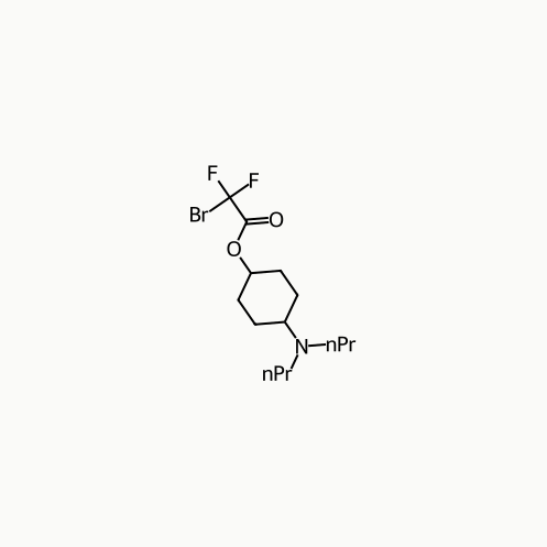 CCCN(CCC)C1CCC(OC(=O)C(F)(F)Br)CC1